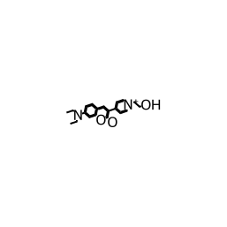 CCN(CC)c1ccc2cc(-c3cc[n+](CCO)cc3)c(=O)oc2c1